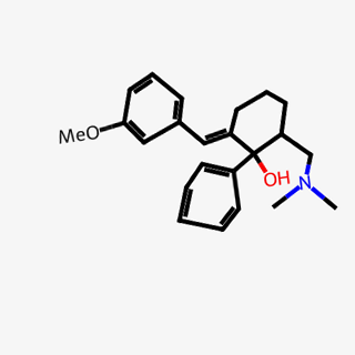 COc1cccc(/C=C2\CCCC(CN(C)C)C2(O)c2ccccc2)c1